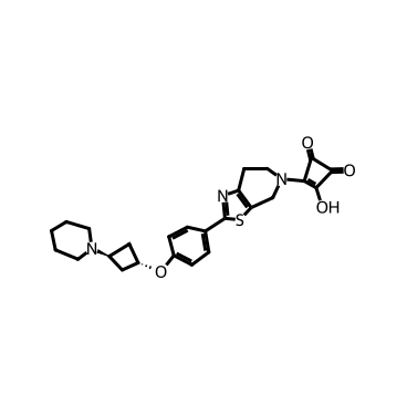 O=c1c(O)c(N2CCc3nc(-c4ccc(O[C@H]5C[C@H](N6CCCCC6)C5)cc4)sc3C2)c1=O